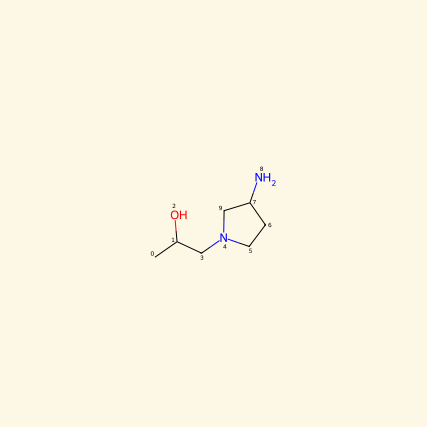 CC(O)CN1CCC(N)C1